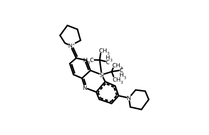 CC(C)(C)[Si]1(C(C)(C)C)C2=CC(=[N+]3CCCCC3)C=CC2=Nc2ccc(N3CCCCC3)cc21